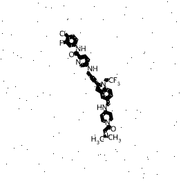 CN(C)CC(=O)N1CCC(NCc2ccc3c(c2)cc(C#CCNc2ccc(C(=O)Nc4ccc(Cl)c(F)c4)nc2)n3CC(F)(F)F)CC1